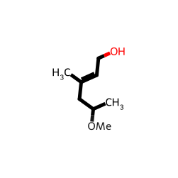 COC(C)CC(C)=CCO